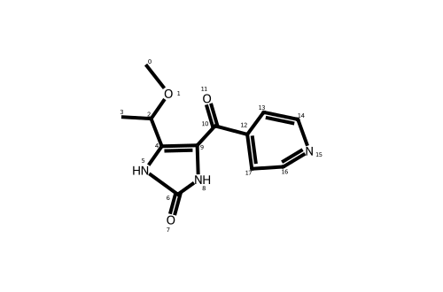 COC(C)c1[nH]c(=O)[nH]c1C(=O)c1ccncc1